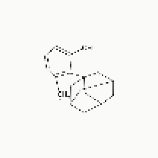 [CH2]c1cccc(O)c1C12CC3CC(CC(C3)C1)C2